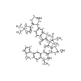 Cc1ncsc1-c1ccc([C@H](C)NC(=O)[C@@H]2C[C@@H](O)CN2C(=O)[C@@H](N2Cc3cc(C4CNCCN4C(=O)OC(C)(C)C)ccc3C2=O)C(C)(C)C)cc1